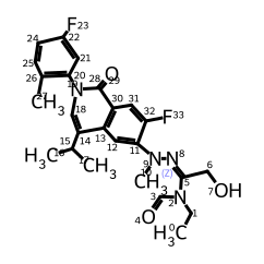 CCN(C=O)/C(CO)=N\N(C)c1cc2c(C(C)C)cn(-c3cc(F)ccc3C)c(=O)c2cc1F